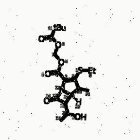 CCSC1=C(C(=O)OCOC(=O)C(C)(C)C)N2C(=O)C(C(C)O)[C@@H]2C1C